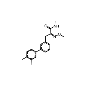 CNC(=O)C(Cc1cccc(-c2ccc(C)c(C)c2)c1)=NOC